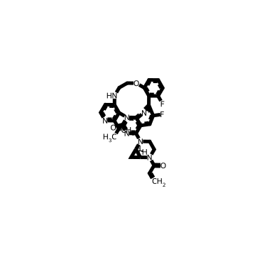 C=CC(=O)N1CCN(c2nc(=O)n3c4nc(c(F)cc24)-c2c(F)cccc2OCCNc2ccnc(C(C)C)c2-3)[C@@H]2C[C@@H]21